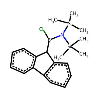 C[Si](C)(C)N(B(Cl)C1c2ccccc2-c2ccccc21)[Si](C)(C)C